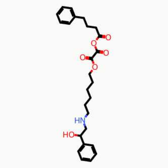 O=C(CCCc1ccccc1)OC(=O)C(=O)OCCCCCCNCC(O)c1ccccc1